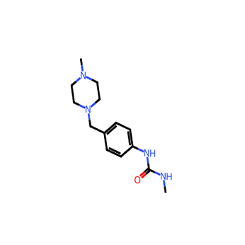 CNC(=O)Nc1ccc(CN2CCN(C)CC2)cc1